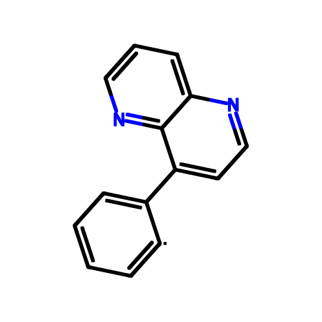 [c]1ccccc1-c1ccnc2cccnc12